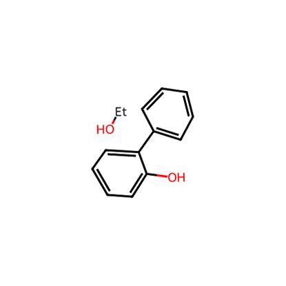 CCO.Oc1ccccc1-c1ccccc1